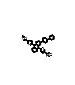 c1ccc(-c2ccc(-c3ccc4c(-c5ccc(-c6cocn6)cn5)c5ccccc5c(-c5ccc(-c6cocn6)cn5)c4c3)cc2)cc1